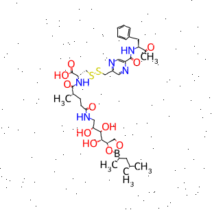 CC(=O)[C@H](Cc1ccccc1)NC(=O)c1cnc(CSSC[C@H](NC(=O)[C@@H](C)CCC(=O)NC[C@H](O)[C@@H](O)[C@H](O)[C@H]2COB(C(C)CC(C)C)O2)C(=O)O)cn1